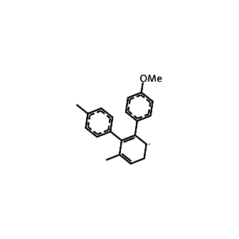 COc1ccc(C2=C(c3ccc(C)cc3)C(C)=CC[CH]2)cc1